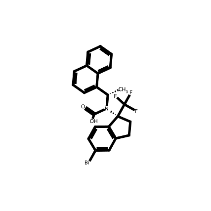 C[C@@H](c1cccc2ccccc12)N(C(=O)O)[C@]1(C(F)(F)F)CCc2cc(Br)ccc21